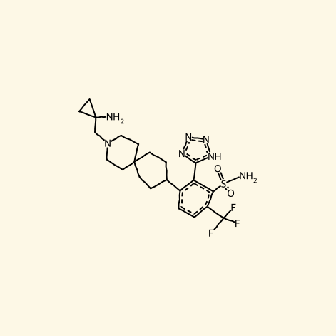 NC1(CN2CCC3(CCC(c4ccc(C(F)(F)F)c(S(N)(=O)=O)c4-c4nnn[nH]4)CC3)CC2)CC1